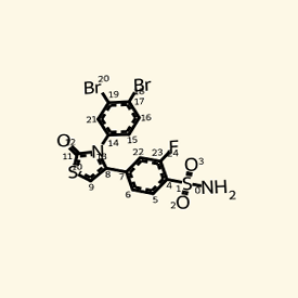 NS(=O)(=O)c1ccc(-c2csc(=O)n2-c2ccc(Br)c(Br)c2)cc1F